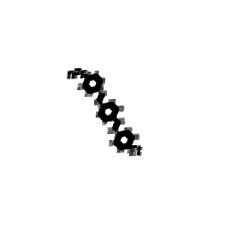 CCC[C@H]1CC[C@H](CC[C@H]2CC[C@H](CC[C@H]3CC[C@H](CC)CC3)CC2)CC1